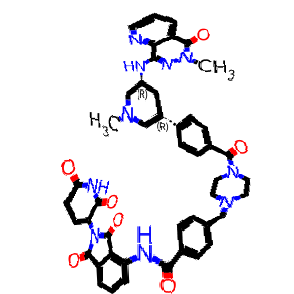 CN1C[C@H](Nc2nn(C)c(=O)c3cccnc23)C[C@H](c2ccc(C(=O)N3CCN(Cc4ccc(C(=O)Nc5cccc6c5C(=O)N(C5CCC(=O)NC5=O)C6=O)cc4)CC3)cc2)C1